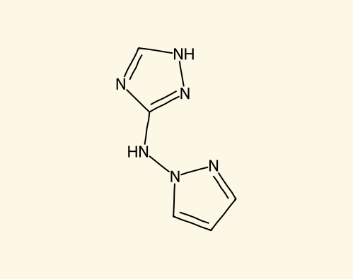 c1cnn(Nc2nc[nH]n2)c1